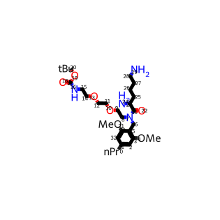 CCCc1cc(OC)c(CN(CCOCCOCCNC(=O)OC(C)(C)C)C(=O)C(N)CCCCN)c(OC)c1